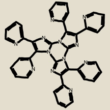 c1ccc(-c2nc3n(c2-c2ccccn2)c2nc(-c4ccccn4)c(-c4ccccn4)n2c2nc(-c4ccccn4)c(-c4ccccn4)n32)nc1